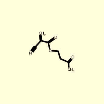 C=C(C#N)C(=O)OCCC(C)=O